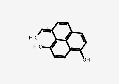 C/C=c1/ccc2ccc(O)c3ccc(C)c1c23